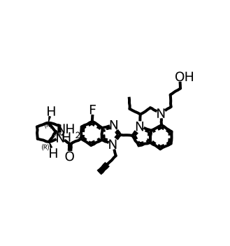 C#CCn1c(-c2cc3cccc4c3n2C(CC)CN4CCCO)nc2c(F)cc(C(=O)N3C[C@H]4CC[C@@H]3[C@@H]4N)cc21